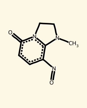 CN1CCn2c1c(N=O)ccc2=O